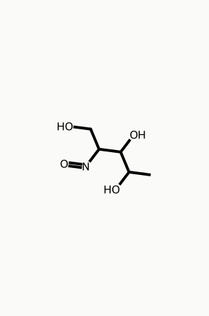 CC(O)C(O)C(CO)N=O